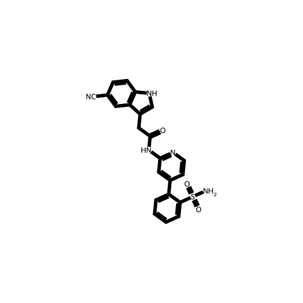 N#Cc1ccc2[nH]cc(CC(=O)Nc3cc(-c4ccccc4S(N)(=O)=O)ccn3)c2c1